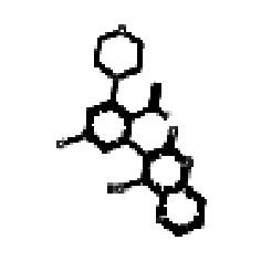 C=C(F)c1c(-c2c(O)c3ncccc3oc2=O)cc(Cl)cc1N1CCOCC1